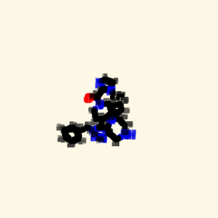 Cn1ccnc1C(=O)N1CCC(c2nnnn2Cc2ccccc2)([N+]2(C3CCC3)CCCNCC2)CC1